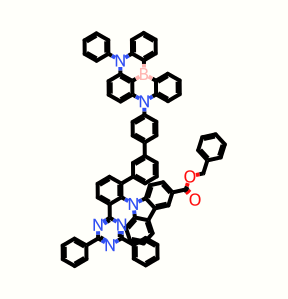 O=C(OCc1ccccc1)c1ccc2c(c1)c1ccccc1n2-c1c(-c2cccc(-c3ccc(N4c5ccccc5B5c6ccccc6N(c6ccccc6)c6cccc4c65)cc3)c2)cccc1-c1nc(-c2ccccc2)nc(-c2ccccc2)n1